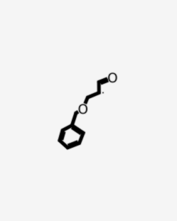 O=C[CH]COCc1ccccc1